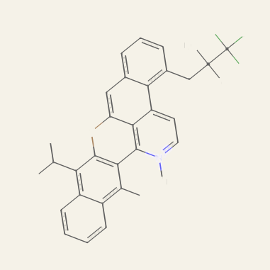 Cc1c2c(c(C(C)C)c3ccccc13)Sc1cc3cccc(CC(C)(C)C(F)(F)F)c3c3cc[n+](C)c-2c13